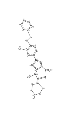 CCOC(=O)c1cn(-c2ccc(OCc3ccccc3)c(Cl)c2)nc1N(C(=O)C1CCC(C)CC1)C(C)C